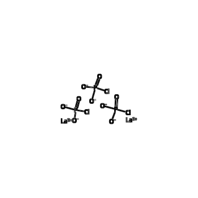 O=P([O-])([O-])Cl.O=P([O-])([O-])Cl.O=P([O-])([O-])Cl.[La+3].[La+3]